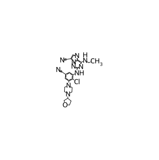 CCNc1nc(Nc2cc(C#N)cc(N3CCN(C4CCOC4)CC3)c2Cl)nn2c(C#N)cnc12